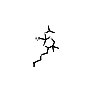 BC1(OC(C)C)OCC(C)(C)C(COCCC)O1